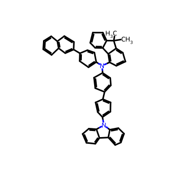 CC1(C)c2ccccc2-c2c(N(c3ccc(-c4ccc(-n5c6ccccc6c6ccccc65)cc4)cc3)c3ccc(-c4ccc5c(c4)C=C=C=C5)cc3)cccc21